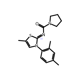 Cc1ccc(-n2cc(C)s/c2=N\C(=O)N2CCCC2)c(C)c1